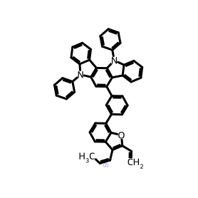 C=Cc1oc2c(-c3cccc(-c4cc5c(c6ccccc6n5-c5ccccc5)c5c4c4ccccc4n5-c4ccccc4)c3)cccc2c1/C=C\C